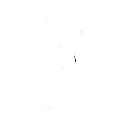 CCCCCCC[C@@H](C)CCOC[C@H](CO)NC(=O)OC(C)(C)C